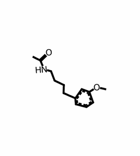 COc1cccc(CCCCNC(C)=O)c1